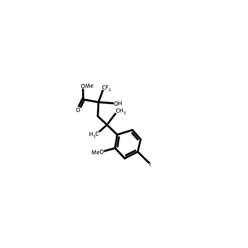 COC(=O)C(O)(CC(C)(C)c1ccc(I)cc1OC)C(F)(F)F